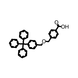 O=C(O)c1ccc(COCc2ccc(C(c3ccccc3)(c3ccccc3)c3ccccc3)cc2)cc1